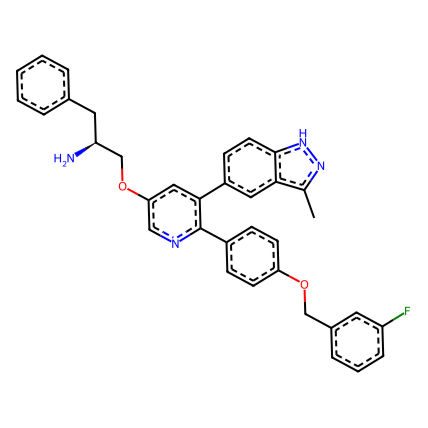 Cc1n[nH]c2ccc(-c3cc(OC[C@@H](N)Cc4ccccc4)cnc3-c3ccc(OCc4cccc(F)c4)cc3)cc12